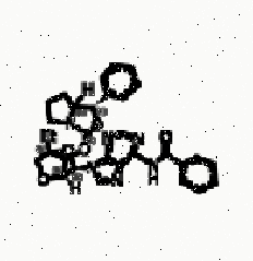 CC[C@]12CO[C@@H](C1O[P@]1O[C@@H](c3ccccc3)[C@H]3CCCN31)[C@H](n1cnc3c(NC(=O)c4ccccc4)ncnc31)O2